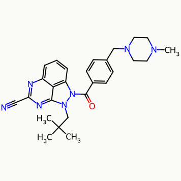 CN1CCN(Cc2ccc(C(=O)N3c4cccc5nc(C#N)nc(c45)N3CC(C)(C)C)cc2)CC1